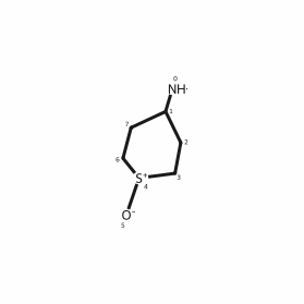 [NH]C1CC[S+]([O-])CC1